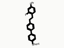 CCCCCc1ccc(-c2ccc(CCc3ccc(CCC)cc3F)cc2)cc1